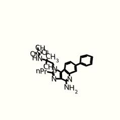 CCCc1nc2c(N)nc3cc(-c4ccccc4)ccc3c2n1CC(C)(C)NS(C)(=O)=O